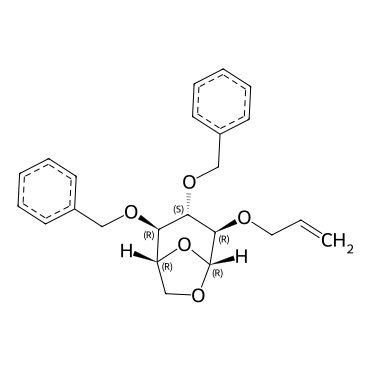 C=CCO[C@H]1[C@@H]2OC[C@@H](O2)[C@@H](OCc2ccccc2)[C@@H]1OCc1ccccc1